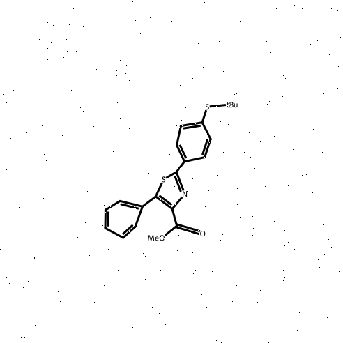 COC(=O)c1nc(-c2ccc(SC(C)(C)C)cc2)sc1-c1ccccc1